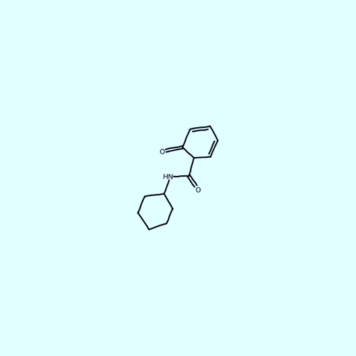 O=C1[C]=CC=CC1C(=O)NC1CCCCC1